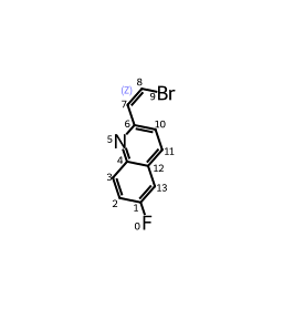 Fc1ccc2nc(/C=C\Br)ccc2c1